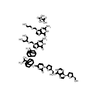 CC(N)C12CC3CC(CC(C3)C1)C2.NC12CC3CC(CC(C3)C1)C2.Nc1ccn([C@H]2CC[C@@H](CO)O2)c(=O)n1.Nc1nc2c(ncn2COC(CO)CO)c(=O)[nH]1.Nc1nc2c(ncn2COCCO)c(=O)[nH]1.O=C(O)P(=O)(O)O.O=c1[nH]cnc2c1ncn2[C@H]1CC[C@@H](CO)O1